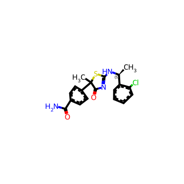 C[C@H](NC1=NC(=O)C(C)(c2ccc(C(N)=O)cc2)S1)c1ccccc1Cl